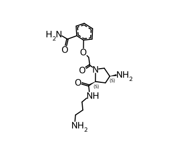 NCCCNC(=O)[C@@H]1C[C@H](N)CN1C(=O)COc1ccccc1C(N)=O